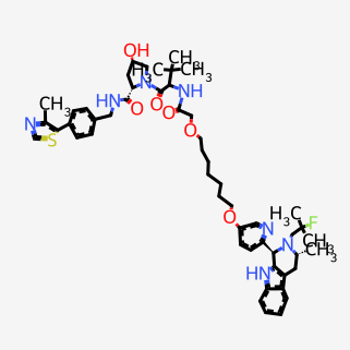 Cc1ncsc1-c1ccc(CNC(=O)[C@@H]2C[C@@H](O)CN2C(=O)C(NC(=O)COCCCCCCCOc2ccc([C@@H]3c4[nH]c5ccccc5c4C[C@@H](C)N3CC(C)(C)F)nc2)C(C)(C)C)cc1